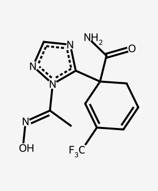 CC(=NO)n1ncnc1C1(C(N)=O)C=C(C(F)(F)F)C=CC1